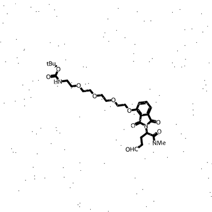 CNC(=O)C(CCC=O)N1C(=O)c2cccc(OCCOCCOCCOCCNC(=O)OC(C)(C)C)c2C1=O